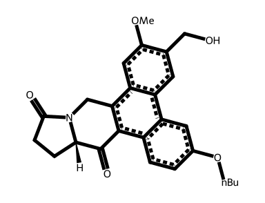 CCCCOc1ccc2c3c(c4cc(OC)c(CO)cc4c2c1)CN1C(=O)CC[C@H]1C3=O